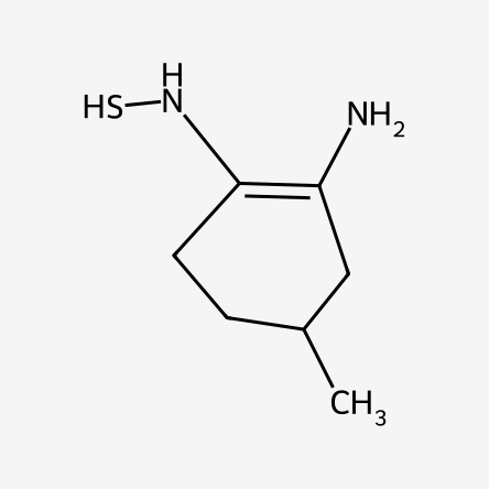 CC1CCC(NS)=C(N)C1